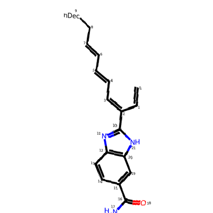 C=CC(=CC=CC=CCCCCCCCCCCC)c1nc2ccc(C(N)=O)cc2[nH]1